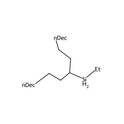 C[CH][SiH2]C(CCCCCCCCCCCC)CCCCCCCCCCCC